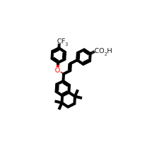 CC1(C)CCC(C)(C)c2cc([C@@H](C=Cc3ccc(C(=O)O)cc3)Oc3ccc(C(F)(F)F)cc3)ccc21